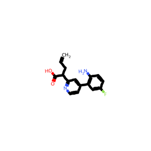 C=CCC(C(=O)O)c1cc(-c2cc(F)ccc2N)ccn1